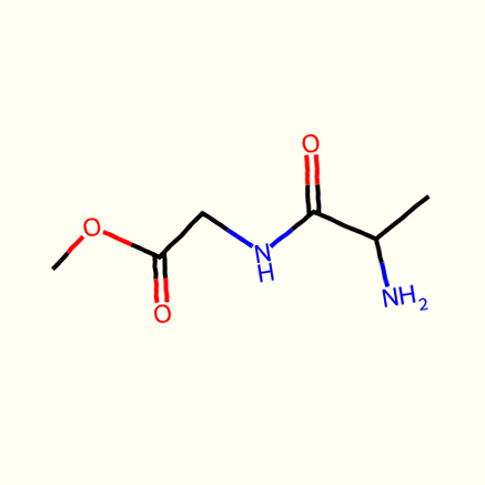 COC(=O)CNC(=O)C(C)N